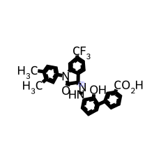 Cc1ccc(N2C(=O)/C(=N\Nc3cccc(-c4cccc(C(=O)O)c4)c3O)c3ccc(C(F)(F)F)cc32)cc1C